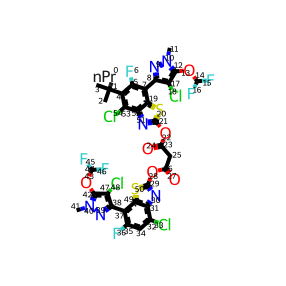 CCCC(C)(C)c1c(F)c(-c2nn(C)c(OC(F)F)c2Cl)c2sc(OC(=O)CC(=O)Oc3nc4c(Cl)cc(F)c(-c5nn(C)c(OC(F)F)c5Cl)c4s3)nc2c1Cl